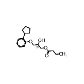 CCCC(=O)OC[C@H](O)COc1ccccc1C1CCCC1